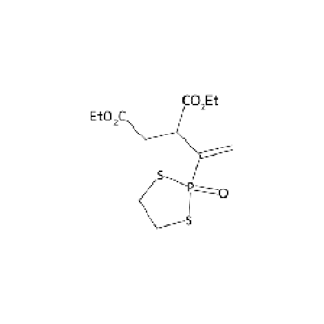 C=C(C(CC(=O)OCC)C(=O)OCC)P1(=O)SCCS1